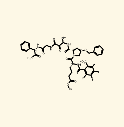 CCCC(NC(=O)[C@@H]1C[C@@H](OCc2ccccc2)CN1C(=O)[C@H](CCCC(=O)OC(C)(C)C)NC(=O)c1c(F)c(F)c(F)c(F)c1C(=O)O)C(=O)C(=O)NCC(=O)N[C@H](C(N)=O)c1ccccc1